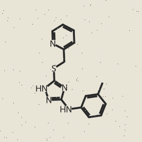 Cc1cccc(Nc2n[nH]c(SCc3ccccn3)n2)c1